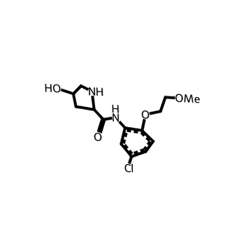 COCCOc1ccc(Cl)cc1NC(=O)C1CC(O)CN1